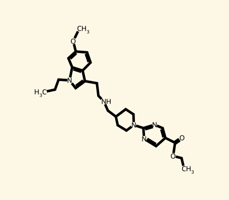 CCCn1cc(CCNCC2CCN(c3ncc(C(=O)OCC)cn3)CC2)c2ccc(OC)cc21